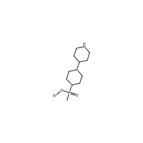 CCOP(C)(=O)N1CCN(C2CCNCC2)CC1